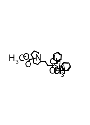 COC(=O)C12CCCN1C(CCC(C)(C)[Si](O)(c1ccccc1)c1ccccc1)CC2